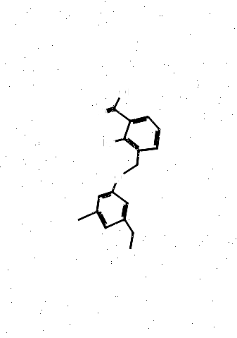 CCc1cc(C)cc(OCc2cccc(C(=O)O)c2O)c1